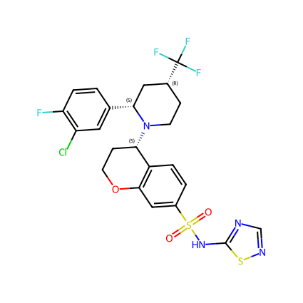 O=S(=O)(Nc1ncns1)c1ccc2c(c1)OCC[C@@H]2N1CC[C@@H](C(F)(F)F)C[C@H]1c1ccc(F)c(Cl)c1